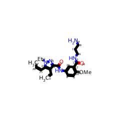 C=Cc1c(C(=O)Nc2ccc(OC)c(C(=O)NCCCN)c2)nn(CC)c1/C=C\C